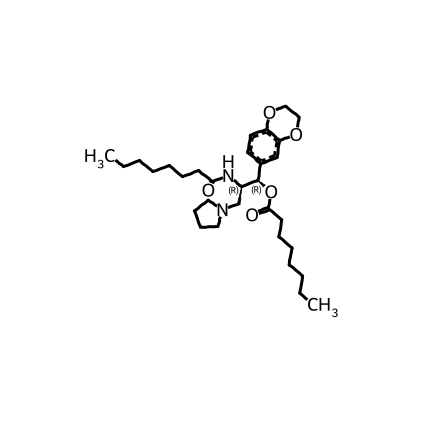 CCCCCCCC(=O)N[C@H](CN1CCCC1)[C@H](OC(=O)CCCCCCC)c1ccc2c(c1)OCCO2